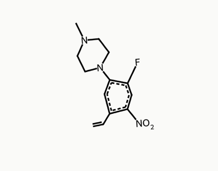 C=Cc1cc(N2CCN(C)CC2)c(F)cc1[N+](=O)[O-]